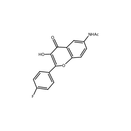 CC(=O)Nc1ccc2oc(-c3ccc(F)cc3)c(O)c(=O)c2c1